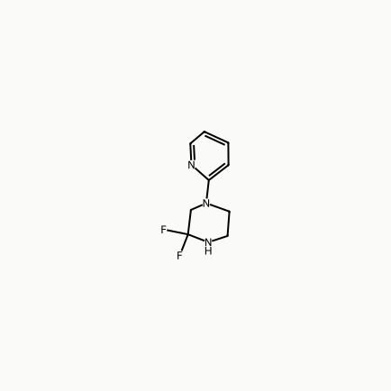 FC1(F)CN(c2ccccn2)CCN1